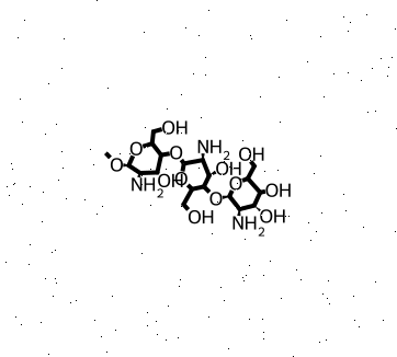 CO[C@H]1OC(CO)C(OC2OC(CO)C(O[C@H]3OC(CO)C(O)[C@H](O)[C@H]3N)[C@H](O)[C@@H]2N)[C@H](O)[C@H]1N